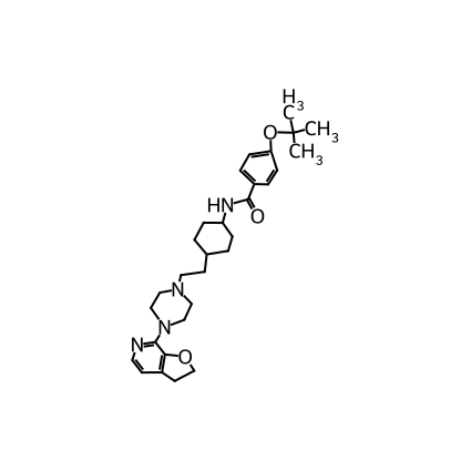 CC(C)(C)Oc1ccc(C(=O)NC2CCC(CCN3CCN(c4nccc5c4OCC5)CC3)CC2)cc1